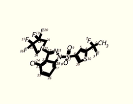 CC(F)(F)c1cc(S(=O)(=O)n2nc(N3CC(F)(F)C(F)(F)C3)c3c(Cl)cccc32)cs1